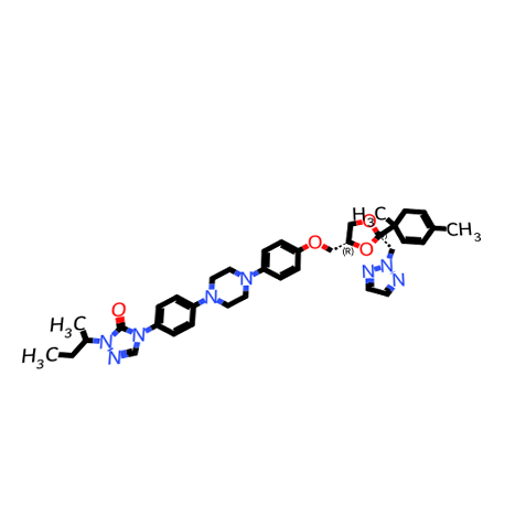 CCC(C)n1ncn(-c2ccc(N3CCN(c4ccc(OC[C@@H]5CO[C@@](Cn6nccn6)(C6(C)C=CC(C)=CC6)O5)cc4)CC3)cc2)c1=O